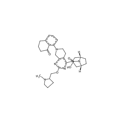 CN1CCCC1COc1nc2c(c(N3C[C@H]4CC[C@@H](C3)N4C(=O)O)n1)CCN(c1cccc3c1C(=O)CCC3)C2